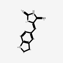 N=C1NC(=O)S/C1=C\c1ccc2c(c1)CCO2